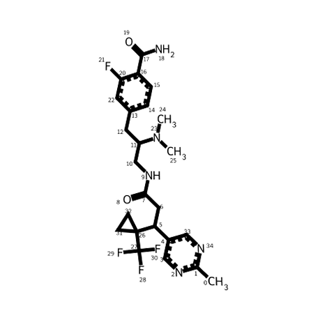 Cc1ncc(C(CC(=O)NCC(Cc2ccc(C(N)=O)c(F)c2)N(C)C)C2(C(F)(F)F)CC2)cn1